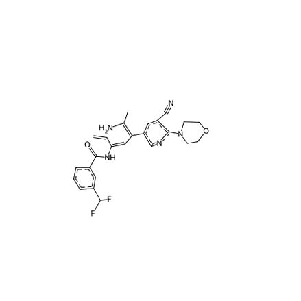 C=C/C(=C\C(=C(\C)N)c1cnc(N2CCOCC2)c(C#N)c1)NC(=O)c1cccc(C(F)F)c1